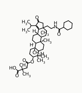 CC(C)C1=C2[C@H]3CC[C@@H]4[C@@]5(C)CC[C@H](OC(=O)CC(C)(C)C(=O)O)C(C)(C)[C@@H]5CC[C@@]4(C)[C@]3(C)CCC2(CCNC(=O)C2CCCCC2)CC1=O